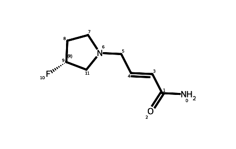 NC(=O)C=CCN1CC[C@@H](F)C1